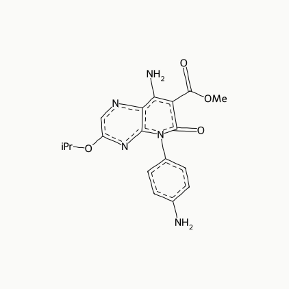 COC(=O)c1c(N)c2ncc(OC(C)C)nc2n(-c2ccc(N)cc2)c1=O